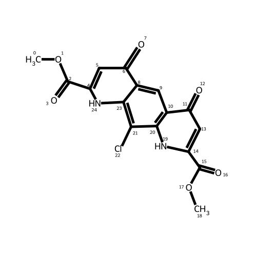 COC(=O)c1cc(=O)c2cc3c(=O)cc(C(=O)OC)[nH]c3c(Cl)c2[nH]1